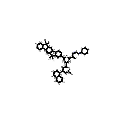 C=C(/C=C\C=C1\C=CC=CC1)c1nc(-c2ccc3c(c2)C(C)(C)c2cc4c(cc2-3)C(C)(C)c2ccccc2-4)nc(-c2cc(-c3cccc4ccccc34)cc(C)n2)n1